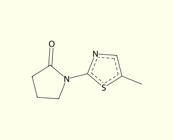 Cc1cnc(N2CCCC2=O)s1